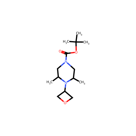 CC1CN(C(=O)OC(C)(C)C)CC(C)N1C1COC1